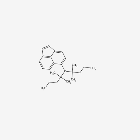 CCCC(C)(C)P(c1ccc2c3c(cccc13)C=C2)C(C)(C)CCC